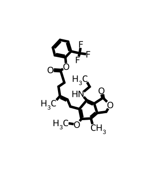 CCNc1c(C/C=C(\C)CCC(=O)Oc2ccccc2C(F)(F)F)c(OC)c(C)c2c1C(=O)OC2